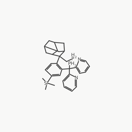 C[Si](C)(C)c1ccc(C2(CP)C3CC4CC(C3)CC2C4)c(C(P)(c2ccccn2)c2ccccn2)c1